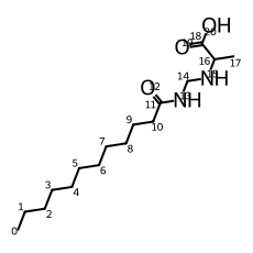 CCCCCCCCCCCC(=O)NCNC(C)C(=O)O